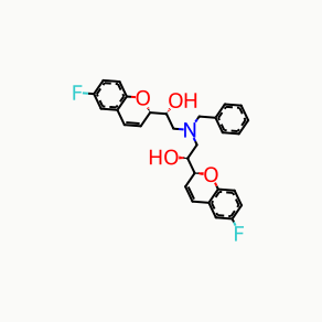 O[C@H](CN(Cc1ccccc1)C[C@H](O)[C@@H]1C=Cc2cc(F)ccc2O1)[C@@H]1C=Cc2cc(F)ccc2O1